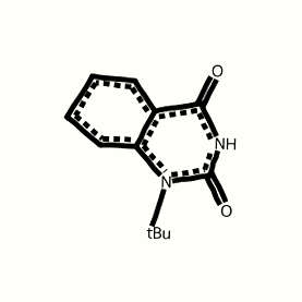 CC(C)(C)n1c(=O)[nH]c(=O)c2ccccc21